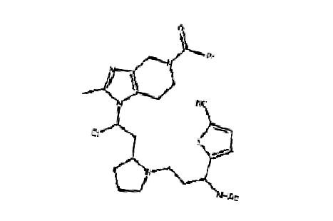 CCC(CC1CCCN1CCC(NC(C)=O)c1ccc(C#N)s1)n1c(C)nc2c1CCN(C(=O)C(C)C)C2